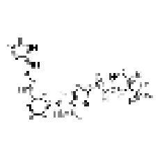 CC(NC(=O)c1cc(NCCNc2ncc[nH]2)ncn1)c1ncc(C(=O)Nc2cc(C(F)(F)F)c(Cl)cn2)s1